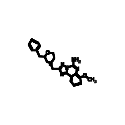 COc1cccc2c1nc(N)n1nc(CN3CCOC(Cc4ccccc4)C3)nc21